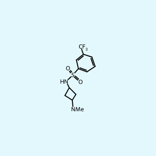 CNC1CC(NS(=O)(=O)c2cccc(C(F)(F)F)c2)C1